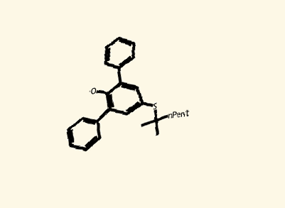 CCCCCC(C)(C)Sc1cc(-c2ccccc2)c([O])c(-c2ccccc2)c1